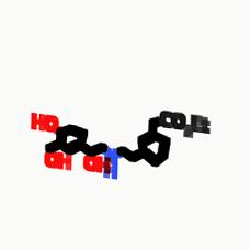 CCOC(=O)Cc1cccc(CCNC[C@H](O)c2ccc(O)c(CO)c2)c1